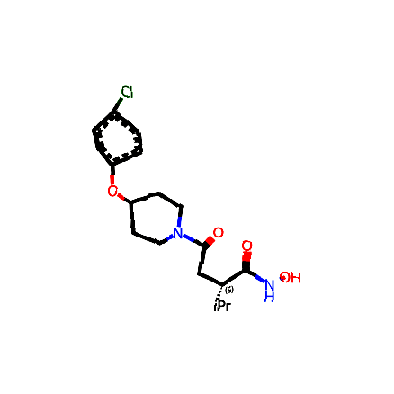 CC(C)[C@H](CC(=O)N1CCC(Oc2ccc(Cl)cc2)CC1)C(=O)NO